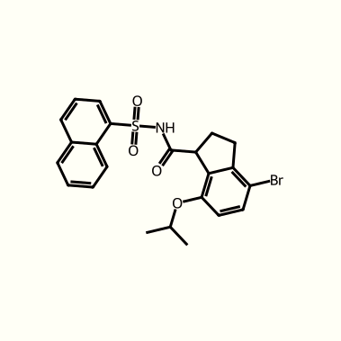 CC(C)Oc1ccc(Br)c2c1C(C(=O)NS(=O)(=O)c1cccc3ccccc13)CC2